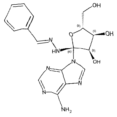 Nc1ncnc2c1ncn2[C@]1(NN=Cc2ccccc2)O[C@H](CO)[C@@H](O)[C@H]1O